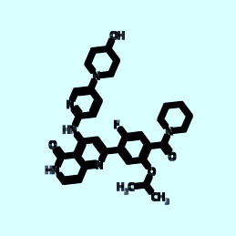 CC(C)Oc1cc(-c2cc(Nc3ccc(N4CCC(O)CC4)cn3)c3c(=O)[nH]ccc3n2)c(F)cc1C(=O)N1CCCCC1